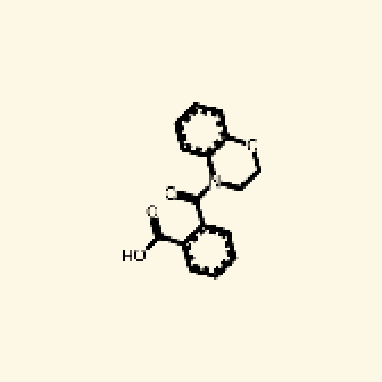 O=C(O)c1ccccc1C(=O)N1CCOc2ccccc21